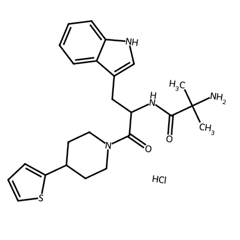 CC(C)(N)C(=O)NC(Cc1c[nH]c2ccccc12)C(=O)N1CCC(c2cccs2)CC1.Cl